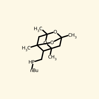 CCCCPCC1C2(C)CC3(C)OC(C)(CC1(C)O3)O2